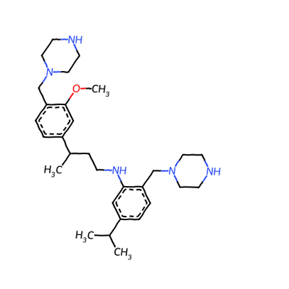 COc1cc(C(C)CCNc2cc(C(C)C)ccc2CN2CCNCC2)ccc1CN1CCNCC1